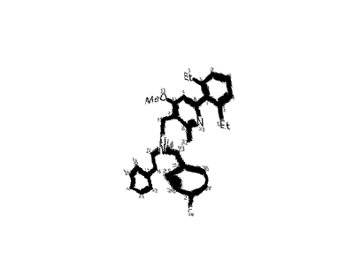 CCc1cccc(CC)c1-c1cc(OC)c(CN(CCc2ccccc2)Cc2ccc(F)cc2)c(C)n1